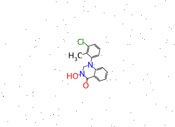 Cc1c(Cl)cccc1N1CN(O)C(=O)c2ccccc21